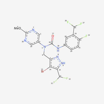 COc1ncc(N(Cc2n[nH]c(C(F)F)c2Br)C(=O)Nc2ccc(F)c(C(F)F)c2)cn1